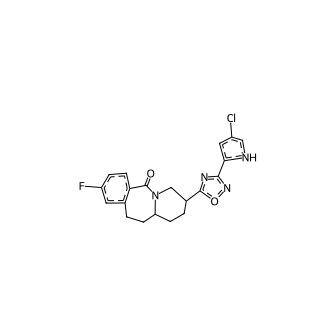 O=C1c2ccc(F)cc2CCC2CCC(c3nc(-c4cc(Cl)c[nH]4)no3)CN12